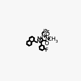 CC(C)Cn1c(=O)n(C)c(=O)c2c(-c3cccc(F)c3)n(Cc3cccc4ccccc34)nc21